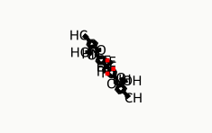 C#Cc1ccc(C(=O)Nc2ccc(C(c3ccc(NC(=O)c4ccc(C#C)cc4C(=O)O)cc3)(C(F)(F)F)C(F)(F)F)cc2)c(C(=O)O)c1